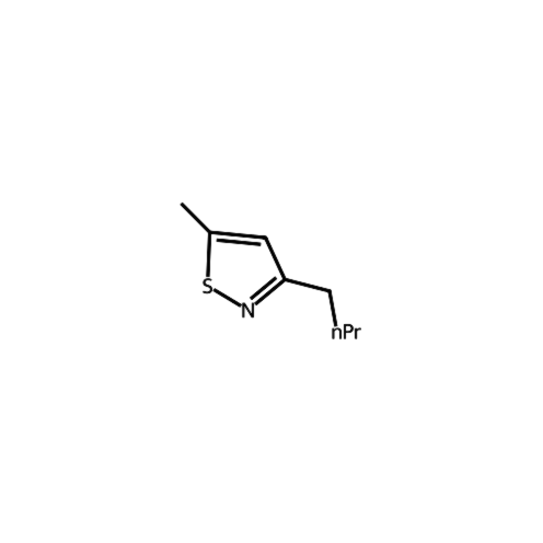 CCCCc1cc(C)sn1